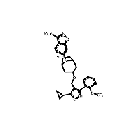 C[C@@H]1CC2CC(OCc3c(-c4ccccc4OC(F)(F)F)noc3C3CC3)CC1N2c1ccc2c(C(=O)O)noc2c1